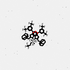 C[SiH](CCC(F)(F)F)[Zr]([Cl])([Cl])([CH]1C(CC23CC4CC(CC(C4)C2)C3)=Cc2c(-c3cc(C(F)(F)F)cc(C(F)(F)F)c3)cccc21)[CH]1C(CC23CC4CC(CC(C4)C2)C3)=Cc2c(-c3cc(C(F)(F)F)cc(C(F)(F)F)c3)cccc21